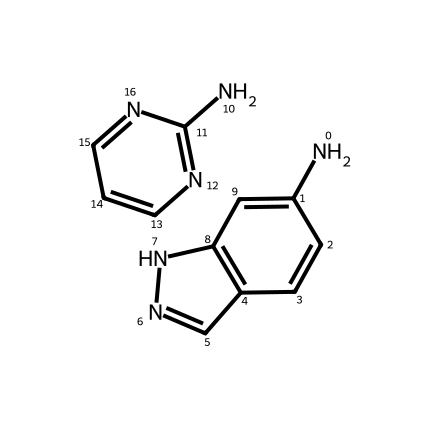 Nc1ccc2cn[nH]c2c1.Nc1ncccn1